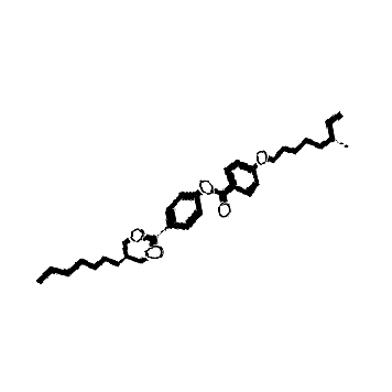 CCCCCCC[C@H]1CO[C@H](c2ccc(OC(=O)c3ccc(OCCCCC[C@@H](C)CC)cc3)cc2)OC1